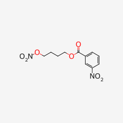 O=C(OCCCCO[N+](=O)[O-])c1cccc([N+](=O)[O-])c1